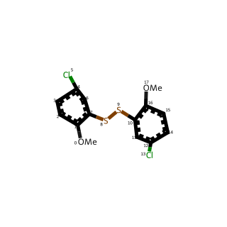 COc1ccc(Cl)cc1SSc1cc(Cl)ccc1OC